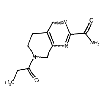 CCC(=O)N1CCc2[c]nc(C(N)=O)nc2C1